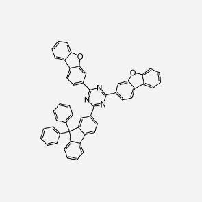 c1ccc(C2(c3ccccc3)c3ccccc3-c3ccc(-c4nc(-c5ccc6c(c5)oc5ccccc56)nc(-c5ccc6c(c5)oc5ccccc56)n4)cc32)cc1